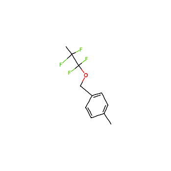 Cc1ccc(COC(F)(F)C(C)(F)F)cc1